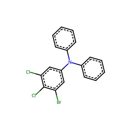 Clc1cc(N(c2ccccc2)c2ccccc2)cc(Br)c1Cl